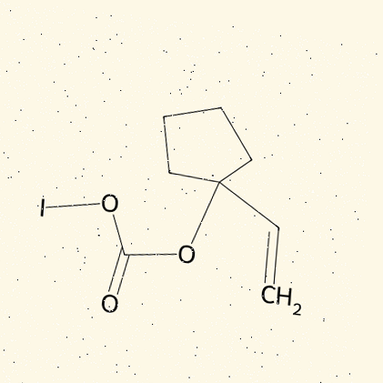 C=CC1(OC(=O)OI)CCCC1